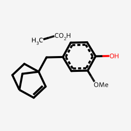 CC(=O)O.COc1cc(CC23C=CC(CC2)C3)ccc1O